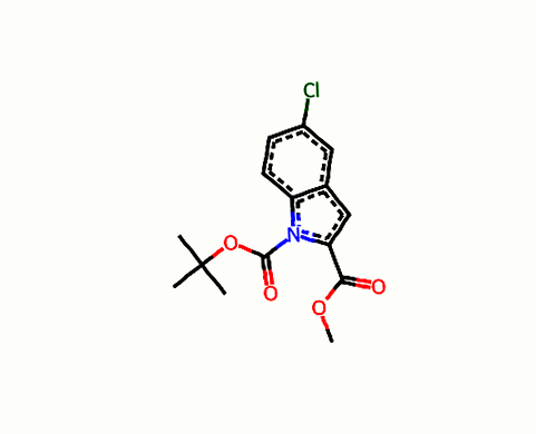 COC(=O)c1cc2cc(Cl)ccc2n1C(=O)OC(C)(C)C